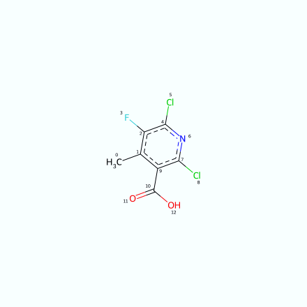 Cc1c(F)c(Cl)nc(Cl)c1C(=O)O